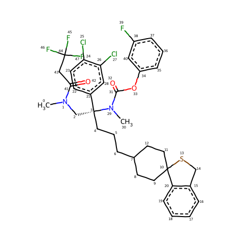 CN(C[C@](CCCC1CCC2(CC1)SCc1ccccc12)(c1ccc(Cl)c(Cl)c1)N(C)C(=O)Oc1cccc(F)c1)C(=O)CC(F)(F)F